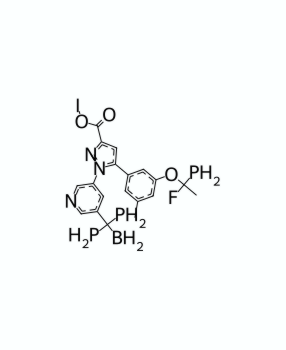 BC(P)(P)c1cncc(-n2nc(C(=O)OI)cc2-c2cc(C)cc(OC(C)(F)P)c2)c1